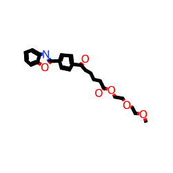 COCCOCCOC(=O)CCCCC(=O)c1ccc(-c2nc3ccccc3o2)cc1